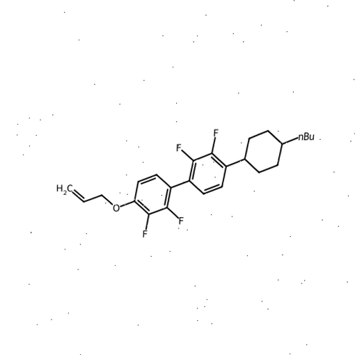 C=CCOc1ccc(-c2ccc(C3CCC(CCCC)CC3)c(F)c2F)c(F)c1F